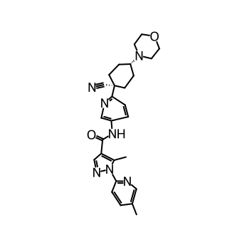 Cc1ccc(-n2ncc(C(=O)Nc3ccc([C@]4(C#N)CC[C@@H](N5CCOCC5)CC4)nc3)c2C)nc1